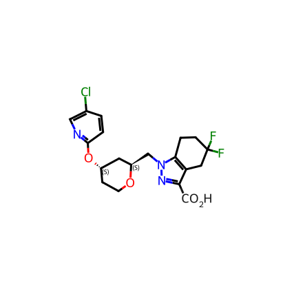 O=C(O)c1nn(C[C@@H]2C[C@@H](Oc3ccc(Cl)cn3)CCO2)c2c1CC(F)(F)CC2